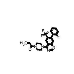 C=CC(=O)N1CCN(c2ncnc3cc(-c4ccccc4F)c(C(F)(F)F)cc23)CC1